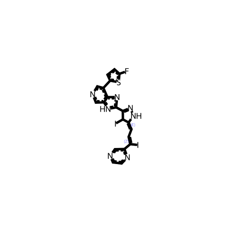 Fc1ccc(-c2cncc3[nH]c(C4=NN/C(=C/C=C(\I)c5cnccn5)C4I)nc23)s1